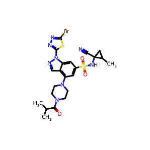 CC(C)C(=O)N1CCN(c2cc(S(=O)(=O)NC3(C#N)CC3C)cc3c2cnn3-c2nnc(Br)s2)CC1